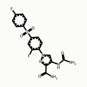 NC(=O)Nc1cn(-c2ccc(S(=O)(=O)c3ccc(F)cc3)cc2F)nc1C(N)=O